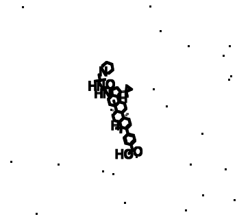 CC(C)(CN1CCCCC1)NC(=O)NC12CC[C@@H](C3(C)CC3)C1[C@H]1CCC3[C@@]4(C)CC=C(c5ccc(C(=O)O)cc5)C(C)(C)[C@@H]4CC[C@@]3(C)[C@]1(C)CC2